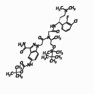 C[C@@H](CO[Si](C)(C)C(C)(C)C)N(CC(=O)N[C@H](CCN(C)C)c1cccc(Cl)c1F)C(=O)Cn1nc(C(N)=O)c2cc(NC(=O)OC(C)(C)C)ccc21